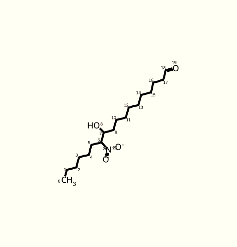 CCCCCCC(C(O)CCCCCCCCCC=O)[N+](=O)[O-]